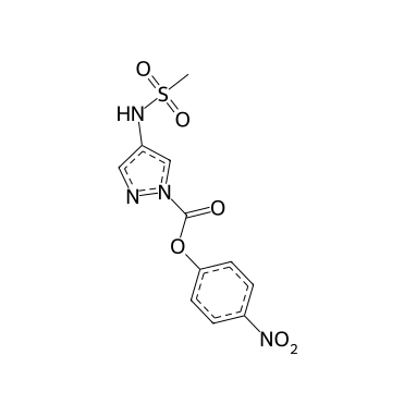 CS(=O)(=O)Nc1cnn(C(=O)Oc2ccc([N+](=O)[O-])cc2)c1